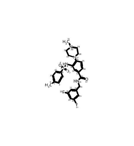 Cc1ccc(S(=O)(=O)Nc2cc(C(=O)NCc3cc(F)cc(F)c3)ccc2N2CCN(C)CC2)cc1